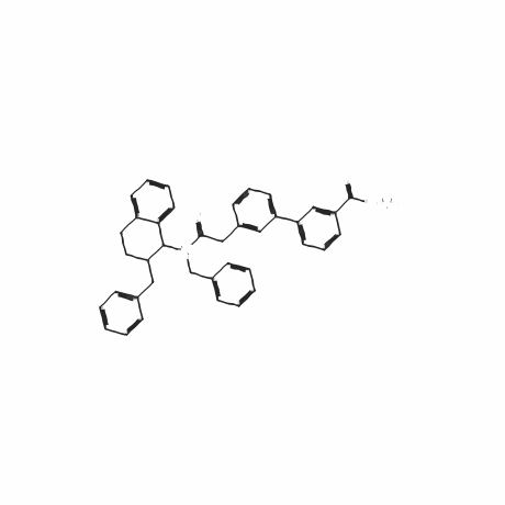 COC(=O)c1cccc(-c2cccc(CC(=O)N(Cc3ccccc3)C3c4ccccc4CCC3Cc3ccccc3)c2)c1